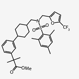 COC(=O)C(C)(C)c1cccc(C2CCC(CN(Cc3ccc(C(F)(F)F)o3)S(=O)(=O)c3c(C)cc(C)cc3C)CC2)c1